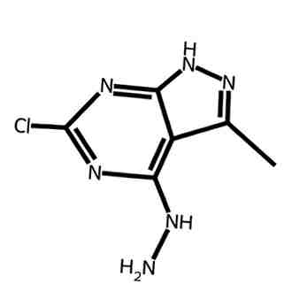 Cc1n[nH]c2nc(Cl)nc(NN)c12